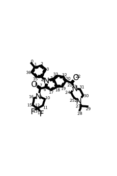 Cc1ccc(-n2c(C(=O)N3CCC(F)(F)CC3)cc3cc(C(=O)N4CCN(C(C)C)CC4)ccc32)cc1